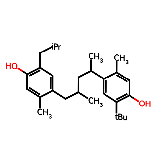 Cc1cc(O)c(CC(C)C)cc1CC(C)CC(C)c1cc(C(C)(C)C)c(O)cc1C